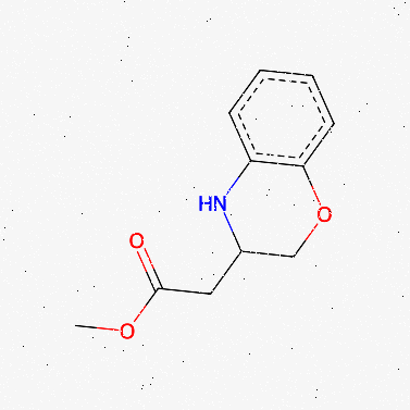 COC(=O)CC1COc2ccccc2N1